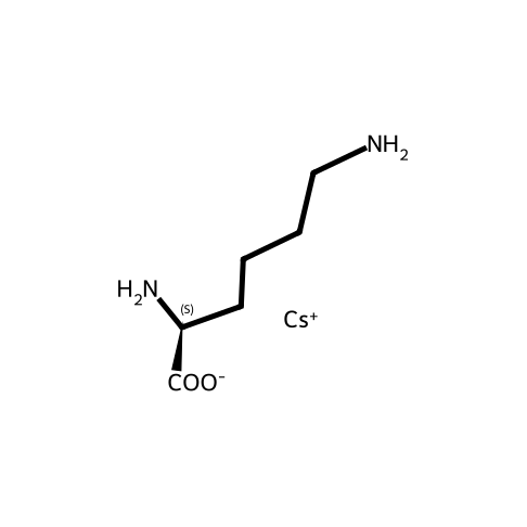 NCCCC[C@H](N)C(=O)[O-].[Cs+]